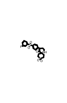 O=S1(=O)CCC2(CC1)NCCc1c2oc2cc(S(=O)(=O)c3cccc(F)c3)ccc12